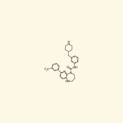 O=C(Nc1cccc(CC2CCNCC2)c1)N1CCCNc2ccc(-c3cccc(C(F)(F)F)c3)nc21